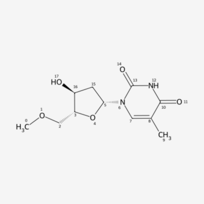 COC[C@H]1O[C@@H](n2cc(C)c(=O)[nH]c2=O)C[C@@H]1O